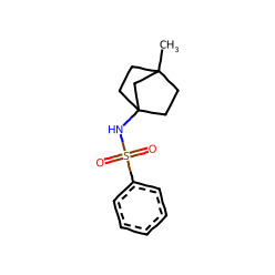 CC12CCC(NS(=O)(=O)c3ccccc3)(CC1)C2